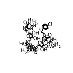 BP(=O)(OP(=O)(O)OC[C@H]1O[C@@H](n2cnc3c(=O)[nH]c(N)nc32)[C@H](O)[C@@H]1O)OP(=O)(O)OC[C@H]1O[C@@H](n2c[n+](CCOc3ccc(Cl)cc3)c3c(=O)[nH]c(N)nc32)[C@H](OC)[C@@H]1O